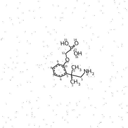 CC(C)(CN)c1ccccc1OCP(=O)(O)O